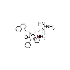 N=C(N)NCCC[C@H](C(N)=O)N(CCc1cccc2ccccc12)C(=O)C(c1ccccc1)c1ccccc1